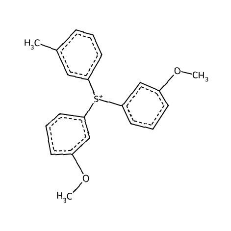 COc1cccc([S+](c2cccc(C)c2)c2cccc(OC)c2)c1